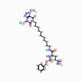 Cn1cnc2c1c(=O)n(CCCCCCCCCCCNC(=O)C(CCC(N)=O)NC(=O)OCc1ccccc1)c(=O)n2C